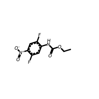 CCOC(=O)Nc1cc(F)c([N+](=O)[O-])cc1F